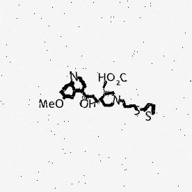 COc1ccc2nccc([C@H](O)CC[C@@H]3CCN(CCCSc4cccs4)C[C@H]3CCC(=O)O)c2c1